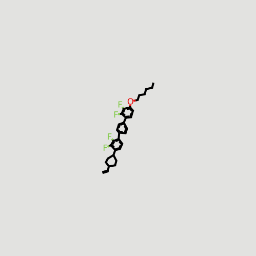 C=CC1CCC(c2ccc(-c3ccc(-c4ccc(OCCCCCC)c(F)c4F)cc3)c(F)c2F)CC1